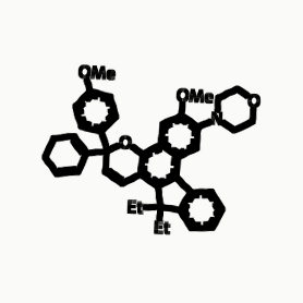 CCC1(CC)c2ccccc2-c2c1c1c(c3cc(OC)c(N4CCOCC4)cc23)OC(C2=CCCC=C2)(c2ccc(OC)cc2)C=C1